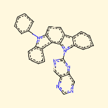 c1ccc(-n2c3ccccc3c3c2ccc2c4ccccc4n(-c4ncc5ncncc5n4)c23)cc1